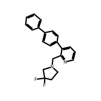 FC1(F)CCN(Cc2ncccc2-c2ccc(-c3ccccc3)cc2)C1